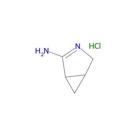 Cl.NC1=NCC2CC12